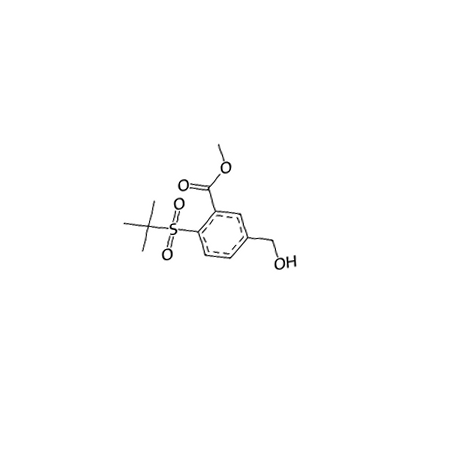 COC(=O)c1cc(CO)ccc1S(=O)(=O)C(C)(C)C